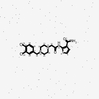 NC(=O)c1ccsc1NC(=O)CN1CCN(Cc2ccc(Cl)c(Cl)c2)CC1